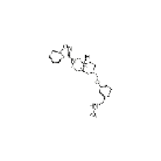 c1cc(CNC2CC2)cc(OCC2CC[C@H]3CN(c4noc5ccccc45)CCN3C2)c1